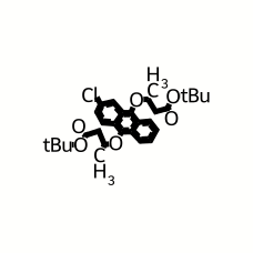 CC(CC(=O)OC(C)(C)C)Oc1c2ccccc2c(OC(C)CC(=O)OC(C)(C)C)c2cc(Cl)ccc12